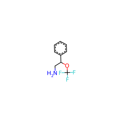 NCC(OC(F)(F)F)c1ccccc1